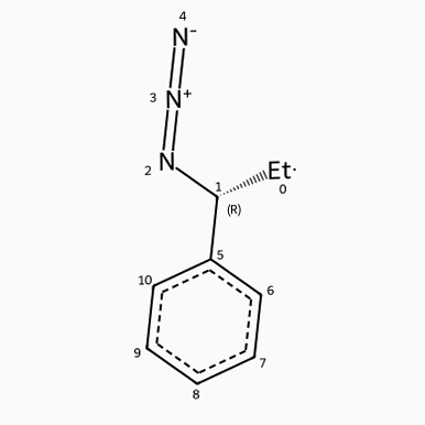 C[CH][C@@H](N=[N+]=[N-])c1ccccc1